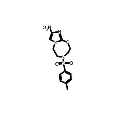 Cc1ccc(S(=O)(=O)N2CCOc3nc([N+](=O)[O-])cn3CC2)cc1